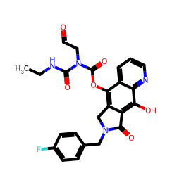 CCNC(=O)N(CC=O)C(=O)Oc1c2c(c(O)c3ncccc13)C(=O)N(Cc1ccc(F)cc1)C2